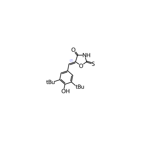 CC(C)(C)c1cc(/C=C2\OC(=S)NC2=O)cc(C(C)(C)C)c1O